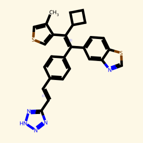 Cc1cscc1/C(=C(\c1ccc(/C=C/c2nn[nH]n2)cc1)c1ccc2scnc2c1)C1CCC1